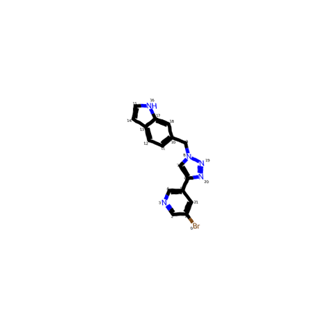 Brc1cncc(-c2cn(Cc3ccc4cc[nH]c4c3)nn2)c1